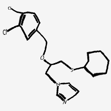 Clc1ccc(COC(CSC2CCCCC2)Cn2ccnc2)cc1Cl